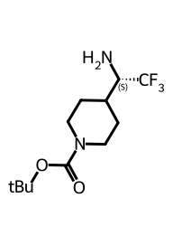 CC(C)(C)OC(=O)N1CCC([C@H](N)C(F)(F)F)CC1